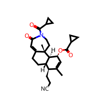 CC1=C[C@@H](OC(=O)C2CC2)[C@H]2[C@@H](CCC3=CC(=O)N(C(=O)C4CC4)CC[C@@]32C)[C@@H]1CCC#N